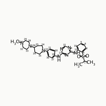 CC(C)S(=O)(=O)c1ccccc1Nc1ncnc(Nc2ccc(N3CCC(N4CCN(C)CC4)CC3)cc2)n1